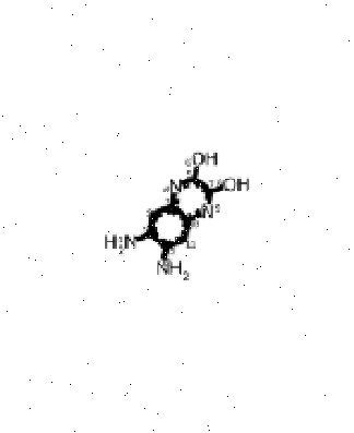 Nc1cc2nc(O)c(O)nc2cc1N